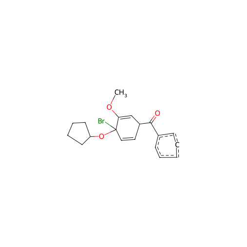 COC1=CC(C(=O)c2ccccc2)C=CC1(Br)OC1CCCC1